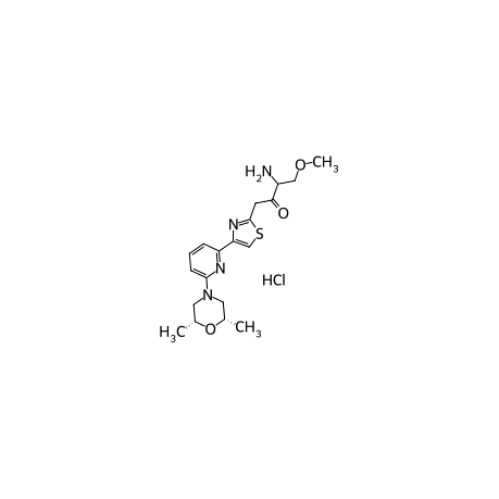 COCC(N)C(=O)Cc1nc(-c2cccc(N3C[C@@H](C)O[C@@H](C)C3)n2)cs1.Cl